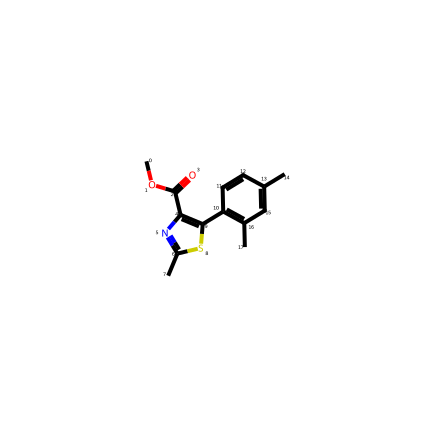 COC(=O)c1nc(C)sc1-c1ccc(C)cc1C